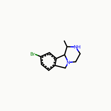 CC1NCCN2Cc3ccc(Br)cc3C12